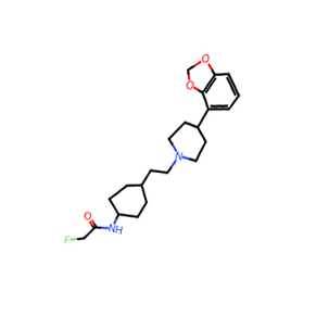 O=C(CF)NC1CCC(CCN2CCC(c3cccc4c3OCO4)CC2)CC1